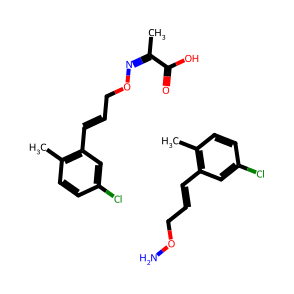 C/C(=N/OC/C=C/c1cc(Cl)ccc1C)C(=O)O.Cc1ccc(Cl)cc1/C=C/CON